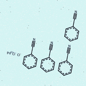 N#Cc1ccccc1.N#Cc1ccccc1.N#Cc1ccccc1.N#Cc1ccccc1.[Cl-].[Cl-].[Pd+2]